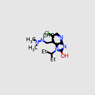 CCC(CC)n1c(O)nc2ncc(Cl)c(CN(C=O)N(C)C)c21